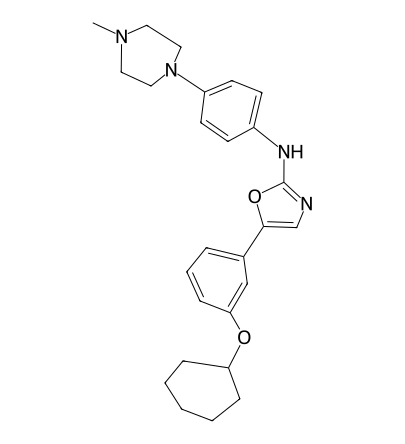 CN1CCN(c2ccc(Nc3ncc(-c4cccc(OC5CCCCC5)c4)o3)cc2)CC1